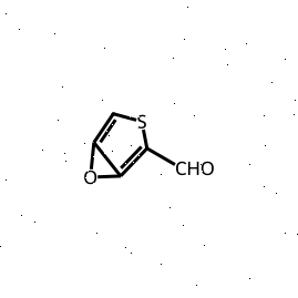 O=Cc1scc2c1O2